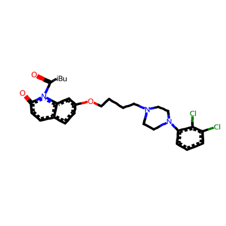 CCC(C)C(=O)n1c(=O)ccc2ccc(OCCCCN3CCN(c4cccc(Cl)c4Cl)CC3)cc21